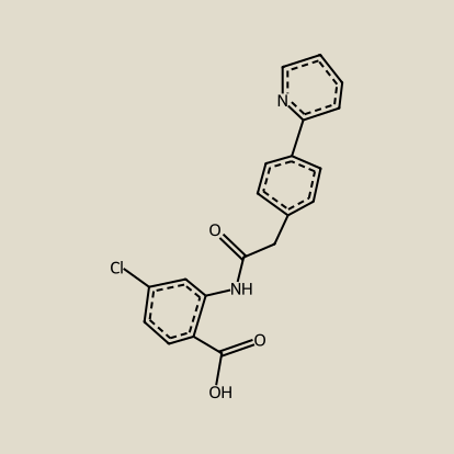 O=C(Cc1ccc(-c2ccccn2)cc1)Nc1cc(Cl)ccc1C(=O)O